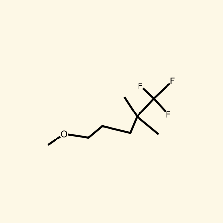 COCCCC(C)(C)C(F)(F)F